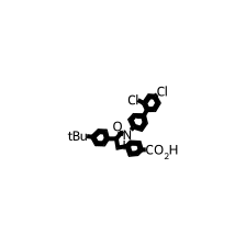 CC(C)(C)c1ccc(C(Cc2ccc(C(=O)O)cc2)C(=O)Nc2ccc(-c3ccc(Cl)cc3Cl)cc2)cc1